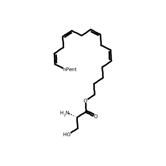 CCCCC/C=C\C/C=C\C/C=C\C/C=C\CCCCOC(=O)[C@@H](N)CO